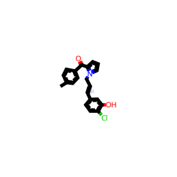 Cc1ccc(C(=O)c2cccn2C/C=C/c2ccc(Cl)c(O)c2)cc1